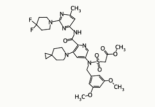 COC(=O)CS(=O)(=O)N(Cc1cc(OC)cc(OC)c1)c1cnc(C(=O)Nc2cc(C)nc(N3CCC(F)(F)CC3)n2)c(N2CCC3(CC2)CC3)c1